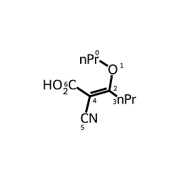 CCCOC(CCC)=C(C#N)C(=O)O